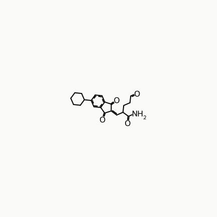 NC(=O)C(/C=C1\C(=O)c2ccc(C3CCCCC3)cc2C1=O)CCC=O